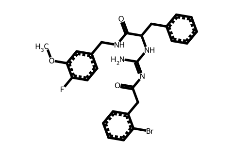 COc1cc(CNC(=O)C(Cc2ccccc2)NC(N)=NC(=O)Cc2ccccc2Br)ccc1F